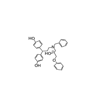 Oc1ccc(C(CCN(Cc2ccccc2)C[C@H](O)COc2ccccc2)c2ccc(O)cc2)cc1